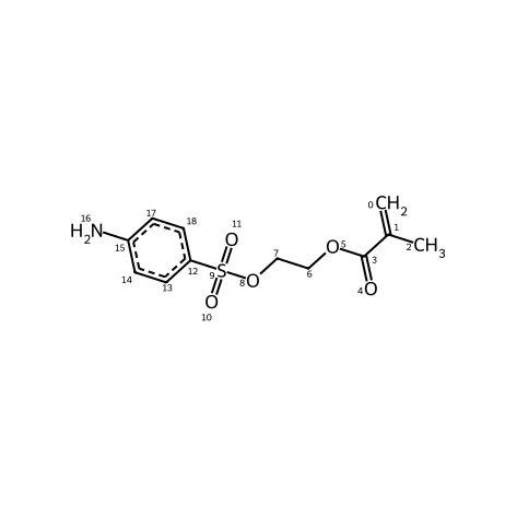 C=C(C)C(=O)OCCOS(=O)(=O)c1ccc(N)cc1